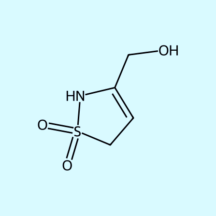 O=S1(=O)CC=C(CO)N1